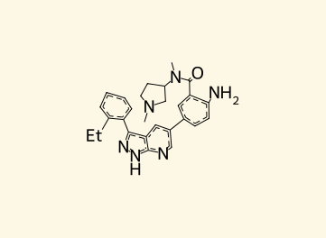 CCc1ccccc1-c1n[nH]c2ncc(-c3ccc(N)c(C(=O)N(C)C4CCN(C)C4)c3)cc12